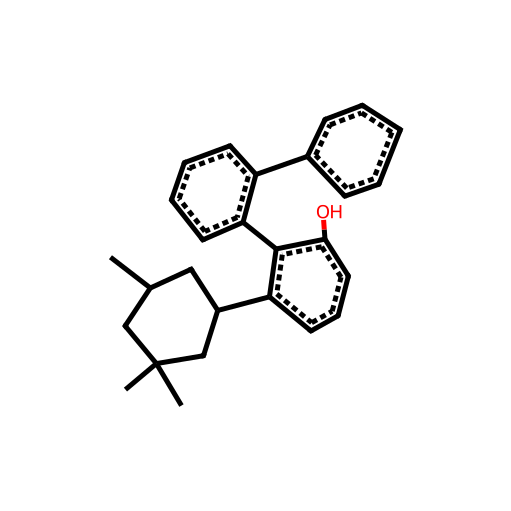 CC1CC(c2cccc(O)c2-c2ccccc2-c2ccccc2)CC(C)(C)C1